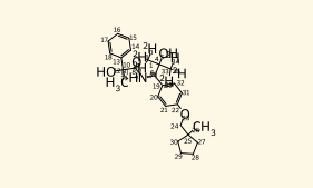 [2H]C([2H])([2H])C(O)([C@H](NC(=O)[C@](C)(O)c1ccccc1)c1ccc(OCC2(C)CCCC2)cc1)C([2H])([2H])[2H]